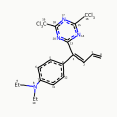 C=CC=C(c1ccc(N(CC)CC)cc1)c1nc(C(Cl)(Cl)Cl)nc(C(Cl)(Cl)Cl)n1